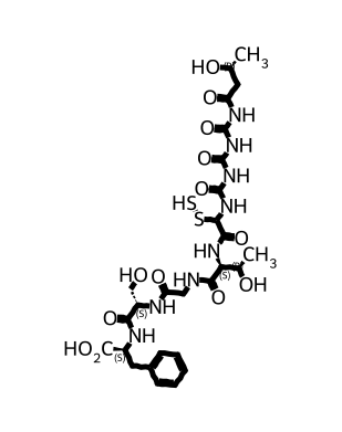 C[C@@H](O)CC(=O)NC(=O)NC(=O)NC(=O)NC(SS)C(=O)N[C@H](C(=O)NCC(=O)N[C@@H](CO)C(=O)N[C@@H](Cc1ccccc1)C(=O)O)[C@@H](C)O